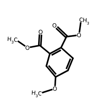 COC(=O)c1ccc(OC)cc1C(=O)OC